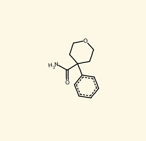 NC(=O)C1(c2ccccc2)CCOCC1